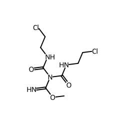 COC(=N)N(C(=O)NCCCl)C(=O)NCCCl